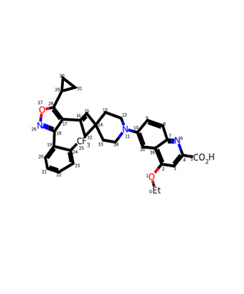 CCOc1cc(C(=O)O)nc2ccc(N3CCC4(C=C(c5c(-c6ccccc6C(F)(F)F)noc5C5CC5)C4)CC3)cc12